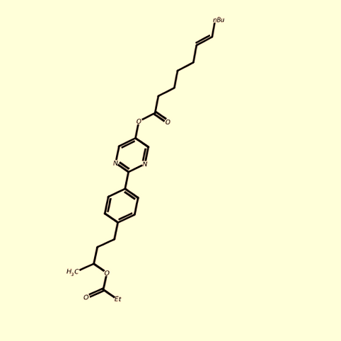 CCCCC=CCCCCC(=O)Oc1cnc(-c2ccc(CCC(C)OC(=O)CC)cc2)nc1